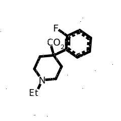 CCN1CCC(C(=O)O)(c2ccccc2F)CC1